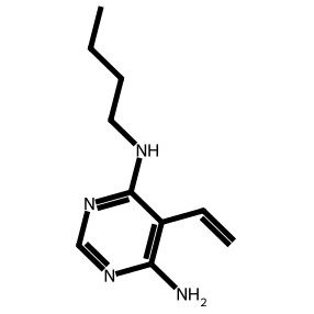 C=Cc1c(N)ncnc1NCCCC